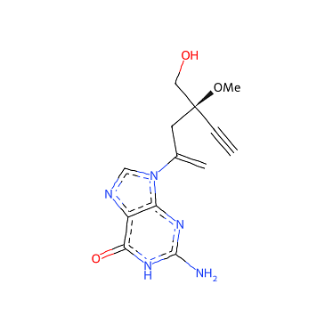 C#C[C@@](CO)(CC(=C)n1cnc2c(=O)[nH]c(N)nc21)OC